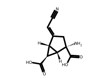 N#CC=C1C[C@@](N)(C(=O)O)[C@@H]2[C@@H](C(=O)O)[C@H]12